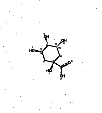 O=C(O)[C@]1(O)C[C@@H](O)[C@H](O)[C@H](O)C1